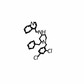 Clc1ccc(CN2CCC(NCc3ccnc4ccccc34)CC2Cc2ccccc2)c(Cl)c1